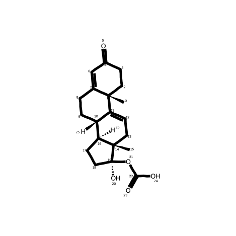 C[C@]12CCC(=O)C=C1CC[C@@H]1C2=CC[C@@]2(C)[C@H]1CC[C@]2(O)OC(=O)O